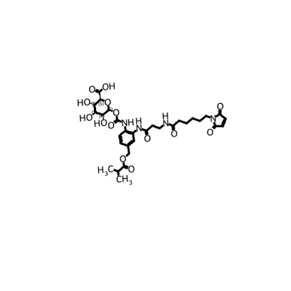 CC(C)C(=O)OCc1ccc(NC(=O)O[C@@H]2O[C@H](C(=O)O)[C@@H](O)[C@H](O)[C@H]2O)c(NC(=O)CCNC(=O)CCCCCN2C(=O)C=CC2=O)c1